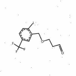 O=CCCOCc1cc(C(F)(F)F)ccc1I